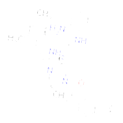 Cc1ccc(C[C@H](N)CN2C[C@@H](C)N(C(=O)Cc3ccc4ccccc4c3)C[C@@H]2CCCNC2CCCCC2N)c(C)c1